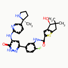 CC1(C)Cc2sc(C(=O)Nc3cc(-c4cc(Nc5ccc([C@]6(C)CCCN6)cn5)c(=O)[nH]n4)ccc3F)cc2[C@H]1O